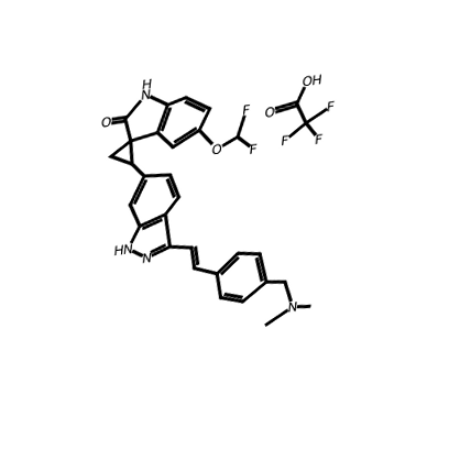 CN(C)Cc1ccc(/C=C/c2n[nH]c3cc(C4CC45C(=O)Nc4ccc(OC(F)F)cc45)ccc23)cc1.O=C(O)C(F)(F)F